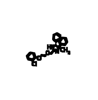 C[C@@]1(c2ccccc2)N=C(COCCOc2ccccc2Cl)N[C@@H]1c1ccccc1